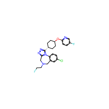 FCCN1Cc2cc(Cl)ccc2-n2c(nnc2[C@H]2CC[C@H](Oc3ccc(F)cn3)CC2)C1